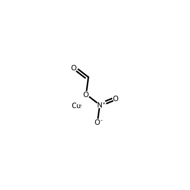 O=CO[N+](=O)[O-].[Cu]